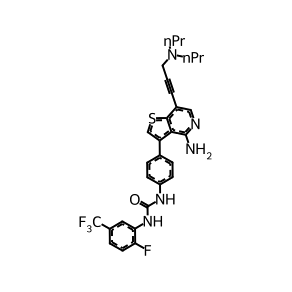 CCCN(CC#Cc1cnc(N)c2c(-c3ccc(NC(=O)Nc4cc(C(F)(F)F)ccc4F)cc3)csc12)CCC